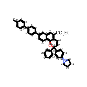 CCOC(=O)c1cc2cc(-c3ccc(-c4ccc(C)cc4)cc3)ccc2c2c1C=CC(c1ccccc1)(c1ccc(N3CCCC3)cc1)O2